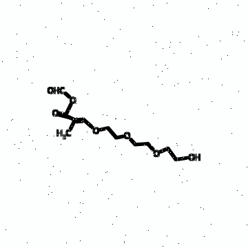 CC(=COCCOCCOCCO)C(=O)OC=O